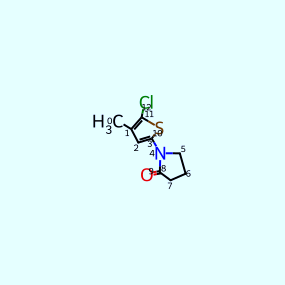 Cc1cc(N2CCCC2=O)sc1Cl